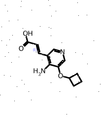 Nc1c(/C=C/C(=O)O)cncc1OC1CCC1